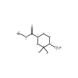 CC(C)(C)OC(=O)N1CCN(C(=O)O)C(C)(C)C1